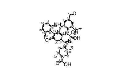 Cc1cc(C=O)cc(C(C)C)c1N1c2nc(-c3c(N)cccc3F)c(Cl)cc2C(N2C[C@@H](C)N(C(=O)O)C[C@@H]2C)=NS1(O)O